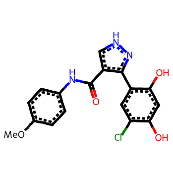 COc1ccc(NC(=O)c2c[nH]nc2-c2cc(Cl)c(O)cc2O)cc1